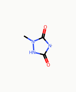 CN1NC(=O)[N]C1=O